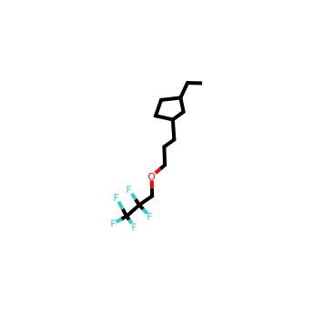 CCC1CCC(CCCOCC(F)(F)C(F)(F)F)C1